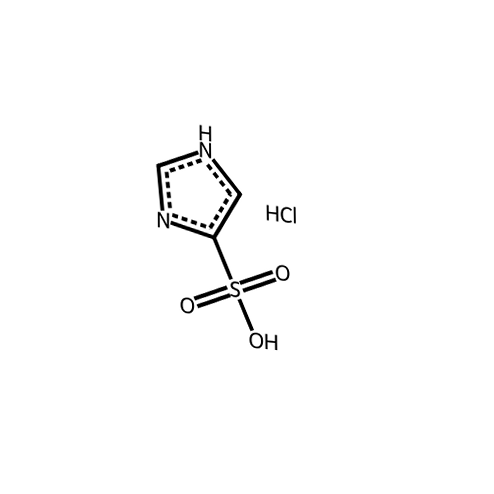 Cl.O=S(=O)(O)c1c[nH]cn1